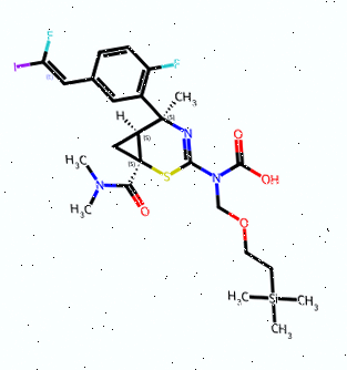 CN(C)C(=O)[C@]12C[C@H]1[C@@](C)(c1cc(/C=C(\F)I)ccc1F)N=C(N(COCC[Si](C)(C)C)C(=O)O)S2